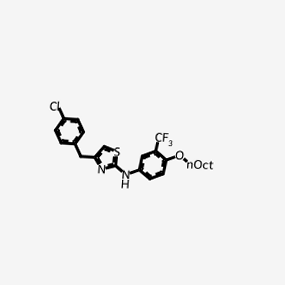 CCCCCCCCOc1ccc(Nc2nc(Cc3ccc(Cl)cc3)cs2)cc1C(F)(F)F